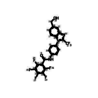 O=C(Nc1ccc(-n2c(C(F)(F)F)nc3cc(CO)ccc32)cc1)c1c(F)c(F)c(F)c(F)c1F